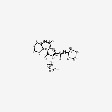 CC(=NC1CCCCC1)c1cc(C)cc(C(C)=NC2CCCCC2)n1.[Cl-].[Cl-].[Co+2]